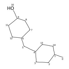 CC1CCC(CC2CCC(O)CC2)CC1